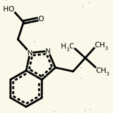 CC(C)(C)Cc1nn(CC(=O)O)c2ccccc12